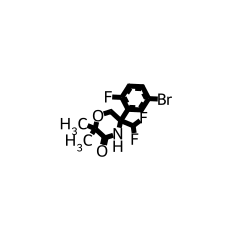 CC1(C)OCC(c2cc(Br)ccc2F)(C(F)F)NC1=O